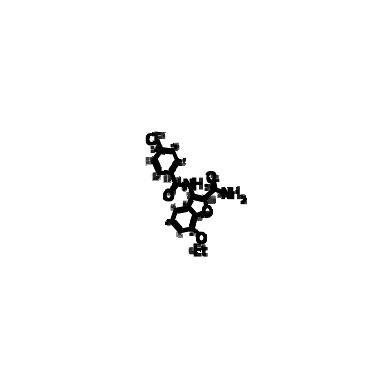 CCOc1cccc2c(NC(=O)c3ccc(Cl)cc3)c(C(N)=O)oc12